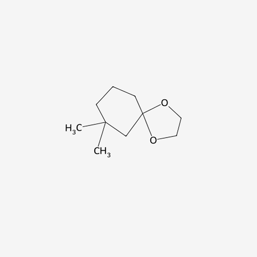 CC1(C)CCCC2(C1)OCCO2